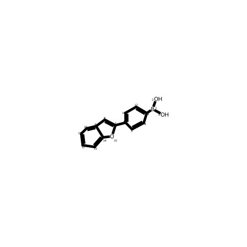 OB(O)c1ccc(-c2cc3ccccc3o2)cc1